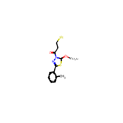 Cc1ccccc1C1=NN(C(=O)CCS)C(OC(=O)O)S1